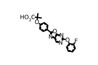 CC(C)(Oc1ccc(-c2nc3cnc(Oc4ccccc4F)nc3o2)cc1)C(=O)O